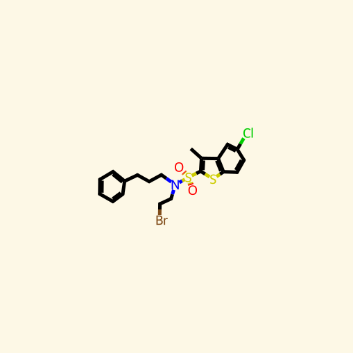 Cc1c(S(=O)(=O)N(CCBr)CCCc2ccccc2)sc2ccc(Cl)cc12